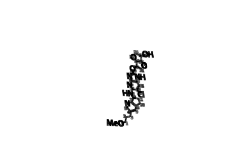 COCCCc1cnc2c(c1)CCC2Nc1nc2nc(O[C@@H]3COC4C3OC[C@H]4O)[nH]c2cc1Cl